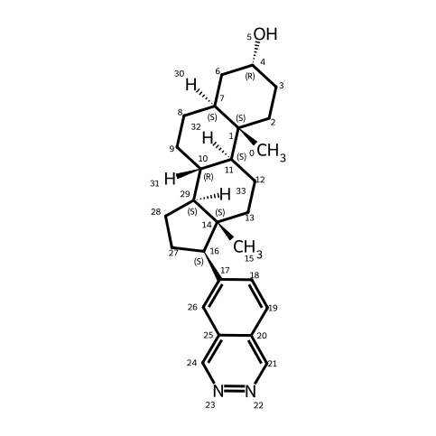 C[C@]12CC[C@@H](O)C[C@@H]1CC[C@@H]1[C@@H]2CC[C@]2(C)[C@@H](c3ccc4cnncc4c3)CC[C@@H]12